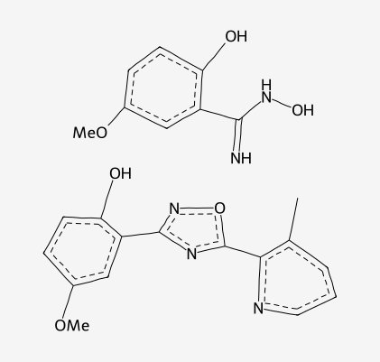 COc1ccc(O)c(-c2noc(-c3ncccc3C)n2)c1.COc1ccc(O)c(C(=N)NO)c1